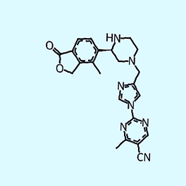 Cc1nc(-n2cnc(CN3CCN[C@H](c4ccc5c(c4C)COC5=O)C3)c2)ncc1C#N